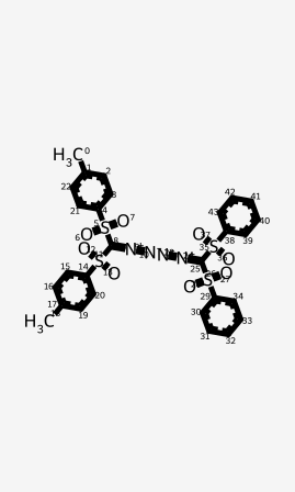 Cc1ccc(S(=O)(=O)C(=[N+]=[N-])S(=O)(=O)c2ccc(C)cc2)cc1.[N-]=[N+]=C(S(=O)(=O)c1ccccc1)S(=O)(=O)c1ccccc1